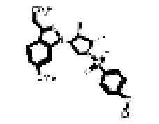 CCOc1ccc(S(=O)(=O)N2C[C@H](n3nc(CC(=O)O)c4ccc(OC)cc43)[C@@H](C)[C@@H]2C)cc1